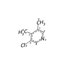 Cc1cncc(Cl)c1C